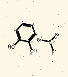 BrB(Br)Br.Oc1ccccc1O